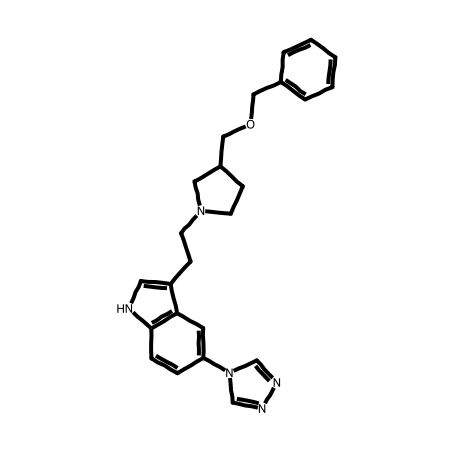 c1ccc(COCC2CCN(CCc3c[nH]c4ccc(-n5cnnc5)cc34)C2)cc1